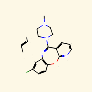 CN1CCN(C2=Nc3cc(Cl)ccc3Oc3ncccc32)CC1.O=C(O)C=CC(=O)O